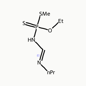 CCC/N=C/NP(=S)(OCC)SC